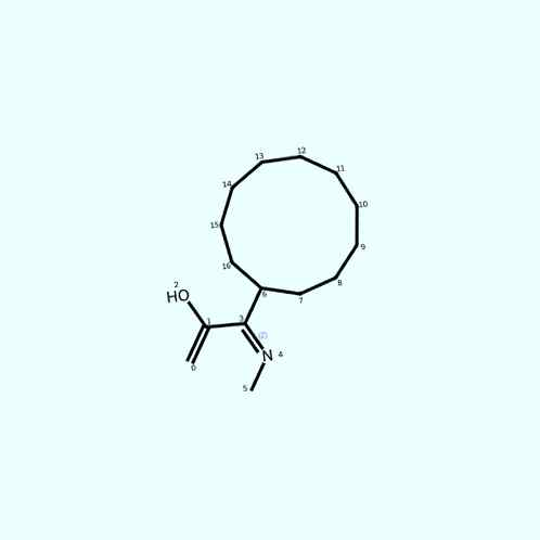 C=C(O)/C(=N\C)C1CCCCCCCCCC1